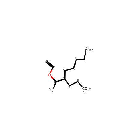 C=COC(CCC)C(CCCCCCCCCCCCCC)CCC(=O)O